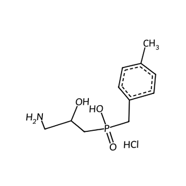 Cc1ccc(CP(=O)(O)CC(O)CN)cc1.Cl